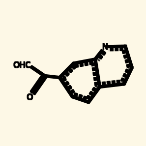 O=CC(=O)c1ccc2cccnc2c1